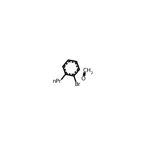 C=O.CCCc1ccccc1Br